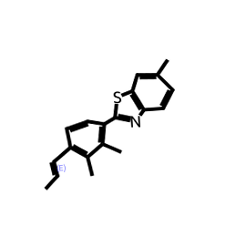 C/C=C/c1ccc(-c2nc3ccc(C)cc3s2)c(C)c1C